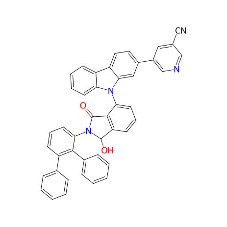 N#Cc1cncc(-c2ccc3c4ccccc4n(-c4cccc5c4C(=O)N(c4cccc(-c6ccccc6)c4-c4ccccc4)C5O)c3c2)c1